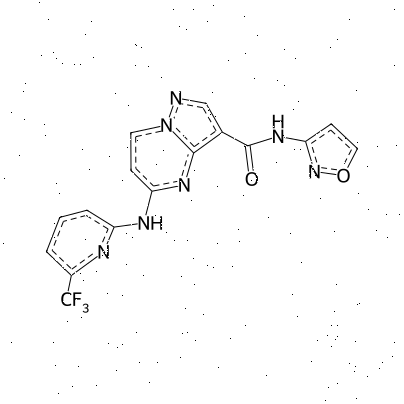 O=C(Nc1ccon1)c1cnn2ccc(Nc3cccc(C(F)(F)F)n3)nc12